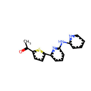 CC(=O)c1ccc(-c2cccc(Nc3ccccn3)n2)s1